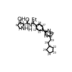 CC[C@H](NC(=O)[C@H]1NCC[C@@H]1O)c1ccc(-c2noc(CCC3CCCC3)n2)cc1